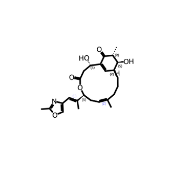 C/C1=C/C[C@@H](/C(C)=C/c2coc(C)n2)OC(=O)C[C@H](O)C2=C[C@@H](CCC1)[C@H](O)[C@@H](C)C2=O